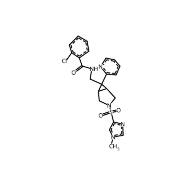 Cn1cnc(S(=O)(=O)N2CC3C(C2)C3(CNC(=O)c2ccccc2Cl)c2ccccn2)c1